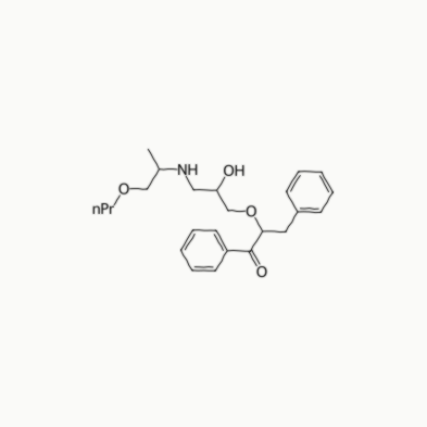 CCCOCC(C)NCC(O)COC(Cc1ccccc1)C(=O)c1ccccc1